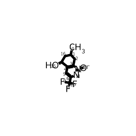 CC1Cc2c(cc(C(F)(F)F)n[n+]2[O-])C(O)C1